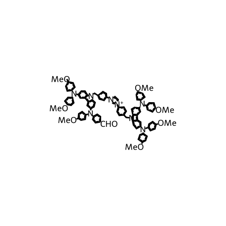 COc1ccc(N(c2ccc(C=O)cc2)c2ccc3c(c2)c2cc(N(c4ccc(OC)cc4)c4ccc(OC)cc4)ccc2n3Cc2ccc(-n3cc[n+](-c4ccc(Cn5c6ccc(N(c7ccc(OC)cc7)c7ccc(OC)cc7)cc6c6cc(N(c7ccc(OC)cc7)c7ccc(OC)cc7)ccc65)cc4)c3)cc2)cc1